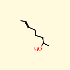 C/C=C/CCCC(C)O